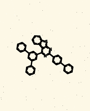 c1ccc(-c2ccc(-c3nc(-c4cc(-c5ccccc5)cc(-c5ccccc5)c4)c4c(n3)sc3ccccc34)cc2)cc1